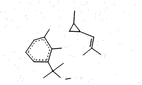 CC1CC1C=C(Cl)Cl.O=C(O)OC(F)(F)c1cccc(F)c1F